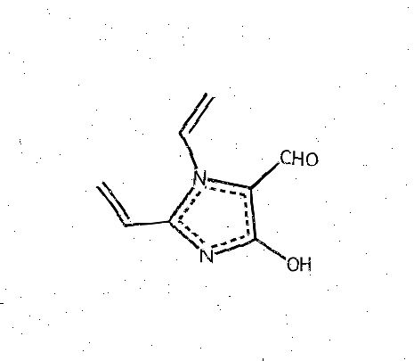 C=Cc1nc(O)c(C=O)n1C=C